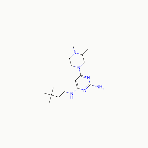 CC1CN(c2cc(NCCC(C)(C)C)nc(N)n2)CCN1C